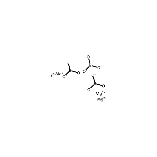 [Mg+2].[Mg+2].[Mg+2].[O-]B([O-])[O-].[O-]B([O-])[O-].[O-]B([O-])[O-].[Y+3]